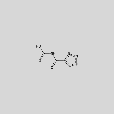 O=C(O)NC(=O)c1csnn1